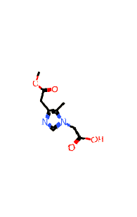 COC(=O)Cc1ncn(CC(=O)O)c1C